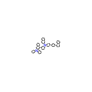 c1ccc(-n2c3ccccc3c3c(-c4cccc(N(c5ccc(-c6ccc(-c7cccc8ccccc78)cc6)cc5)c5ccc6ccccc6c5)c4)c4ccccc4cc32)cc1